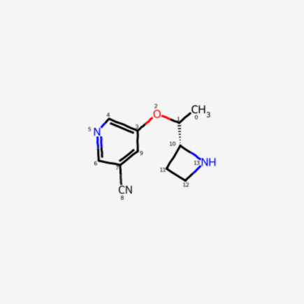 CC(Oc1cncc(C#N)c1)[C@H]1CCN1